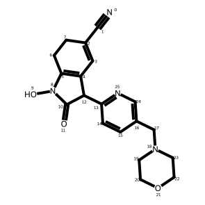 N#CC1=CC2=C(CC1)N(O)C(=O)C2c1ccc(CN2CCOCC2)cn1